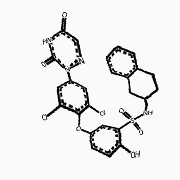 O=c1cnn(-c2cc(Cl)c(Oc3ccc(O)c(S(=O)(=O)NC4CCc5ccccc5C4)c3)c(Cl)c2)c(=O)[nH]1